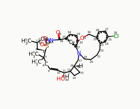 CC(C)C[C@@H]1C(C)(C)C/C=C/[C@H](O)[C@@H]2CC[C@H]2CN2CCCCc3cc(Cl)ccc3COc3ccc(cc32)C(=O)NS1(=O)=O